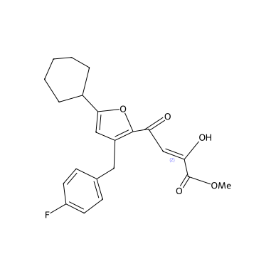 COC(=O)/C(O)=C/C(=O)c1oc(C2CCCCC2)cc1Cc1ccc(F)cc1